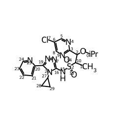 CC(C)OC(c1ncc(Cl)cn1)C(C)S(=O)(=O)Nc1nnc(-c2ccccn2)n1C1CC1